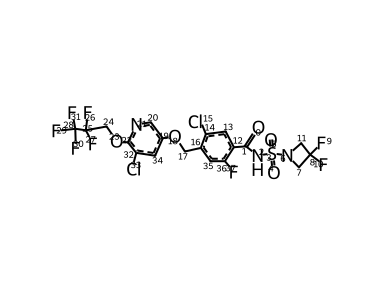 O=C(NS(=O)(=O)N1CC(F)(F)C1)c1cc(Cl)c(COc2cnc(OCC(F)(F)C(F)(F)F)c(Cl)c2)cc1F